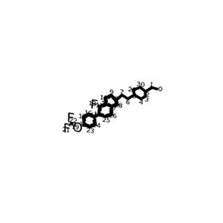 CCC1CCC(CCc2ccc3c(F)c(-c4ccc(OC(F)F)cc4)ccc3c2)CC1